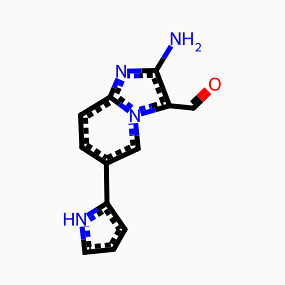 Nc1nc2ccc(-c3ccc[nH]3)cn2c1C=O